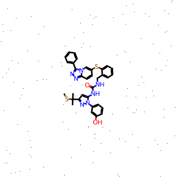 CSC(C)(C)c1cc(NC(=O)NCc2ccccc2Sc2ccc3nnc(-c4ccccc4)n3c2)n(-c2cccc(O)c2)n1